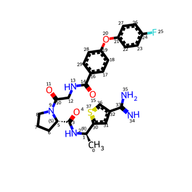 C[C@@H](NC(=O)[C@@H]1CCCN1C(=O)CNC(=O)c1ccc(Oc2ccc(F)cc2)cc1)c1cc(C(=N)N)cs1